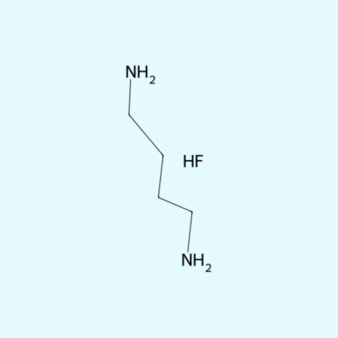 F.NCCCCN